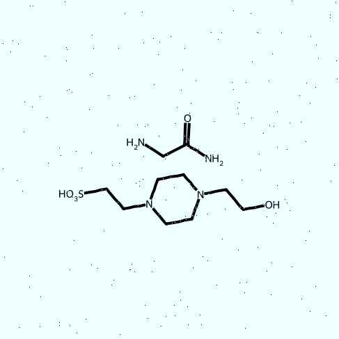 NCC(N)=O.O=S(=O)(O)CCN1CCN(CCO)CC1